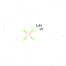 F[B-](F)(F)F.[H+].[LiH]